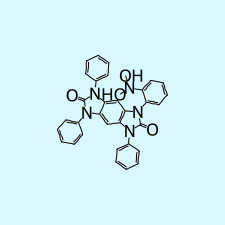 O=c1n(-c2ccccc2)c2cc3c(cc2n1-c1ccccc1)n(-c1ccccc1N(O)O)c(=O)n3-c1ccccc1